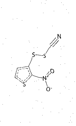 N#CSSc1ccsc1[N+](=O)[O-]